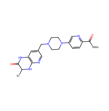 CCC1Nc2ncc(CN3CCN(c4ccc(C(=O)NC)nc4)CC3)cc2NC1=O